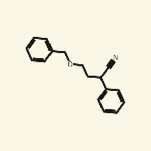 N#CC(CCOCc1ccccc1)c1ccccc1